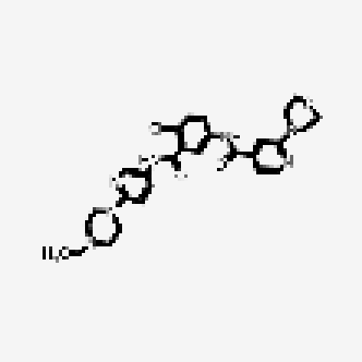 CCN1CCN(c2ccc(NC(=O)c3cc(NC(=O)c4ccnc(N5CCOCC5)c4)ccc3Cl)cn2)CC1